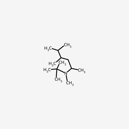 CC(C)C(C)CC(C)N(C)C(C)(C)C